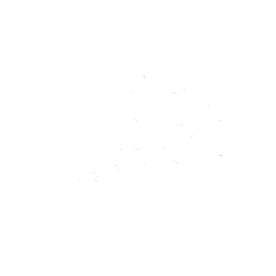 C=CC(=O)N1CC2(CCN(c3nc4c(c(-c5cc(O)ccc5F)c3C#N)CCCC4)C2)C1